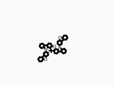 CC1(C)c2ccc3c4ccccc4n(-c4ccc5oc6ccccc6c5c4)c3c2Oc2ccc3c4ccccc4n(-c4ccc5oc6ccccc6c5c4)c3c21